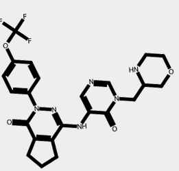 O=c1c(Nc2nn(-c3ccc(OC(F)(F)F)cc3)c(=O)c3c2CCC3)cncn1CC1COCCN1